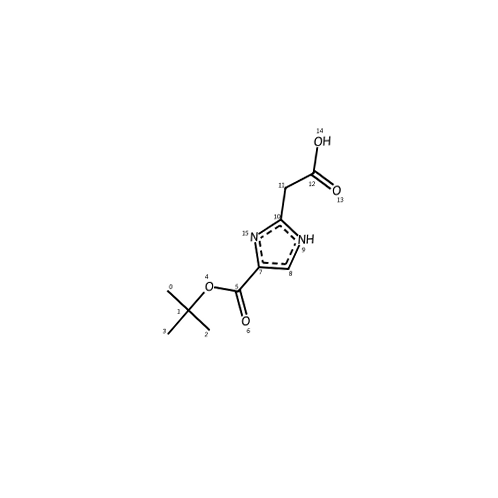 CC(C)(C)OC(=O)c1c[nH]c(CC(=O)O)n1